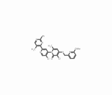 COc1cccc(COc2cc(C)n(-c3cc(-c4nc(C(C)C)ncc4C)ncc3Cl)c(=O)c2Cl)n1